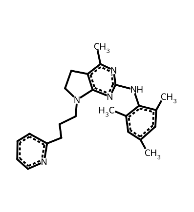 Cc1cc(C)c(Nc2nc(C)c3c(n2)N(CCCc2ccccn2)CC3)c(C)c1